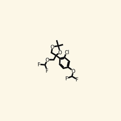 CC1(C)OCC(COC(F)F)(c2ccc(OC(F)F)cc2Cl)O1